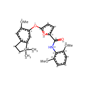 COc1cc2c(cc1Oc1ccc(C(=O)Nc3c(OC)cccc3OC)o1)[Si](C)(C)CC2